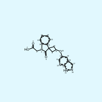 O=C(O)CN1C(=O)C2(CC(Oc3cnc4[nH]ncc4c3)C2)c2ccccc21